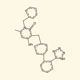 CCCc1cc(C)n(Cc2ccccc2)c(=O)c1Cc1ccc(-c2ccccc2-c2nnn[nH]2)cc1